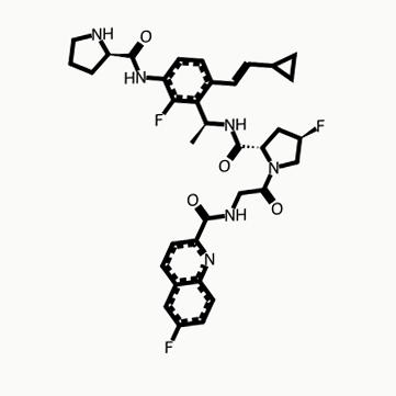 C[C@H](NC(=O)[C@@H]1C[C@@H](F)CN1C(=O)CNC(=O)c1ccc2cc(F)ccc2n1)c1c(/C=C/C2CC2)ccc(NC(=O)[C@H]2CCCN2)c1F